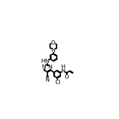 C=CC(=O)Nc1cc(Cl)cc(-c2nc(Nc3cccc(N4CCOCC4)c3)ncc2C#N)c1